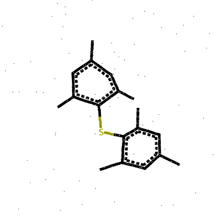 Cc1cc(C)c(Sc2c(C)cc(C)cc2C)c(C)c1